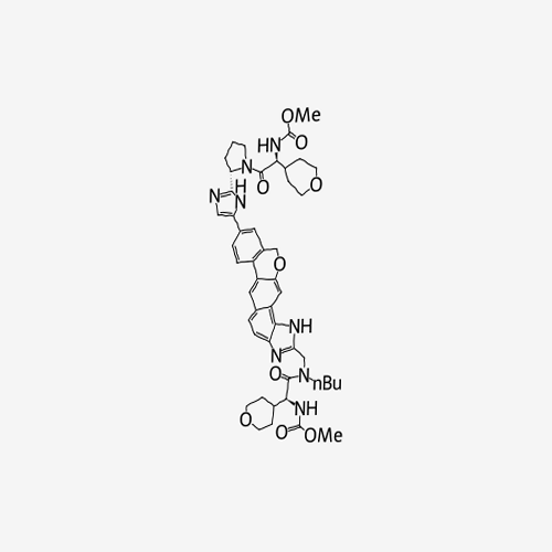 CCCCN(Cc1nc2ccc3cc4c(cc3c2[nH]1)OCc1cc(-c2cnc([C@@H]3CCCN3C(=O)[C@@H](NC(=O)OC)C3CCOCC3)[nH]2)ccc1-4)C(=O)[C@@H](NC(=O)OC)C1CCOCC1